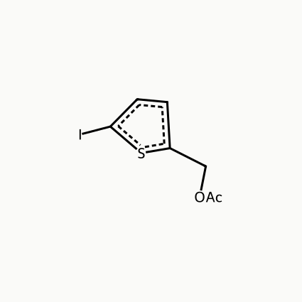 CC(=O)OCc1ccc(I)s1